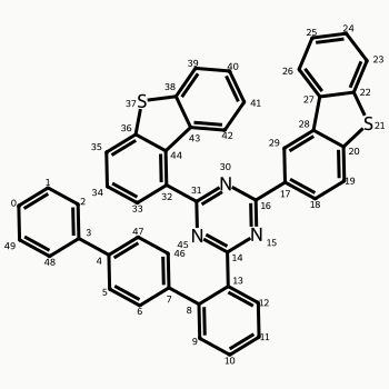 c1ccc(-c2ccc(-c3ccccc3-c3nc(-c4ccc5sc6ccccc6c5c4)nc(-c4cccc5sc6ccccc6c45)n3)cc2)cc1